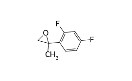 CC1(c2ccc(F)cc2F)CO1